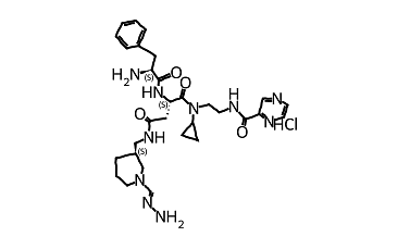 Cl.NN=CN1CCC[C@@H](CNC(=O)C[C@H](NC(=O)[C@@H](N)Cc2ccccc2)C(=O)N(CCNC(=O)c2cnccn2)C2CC2)C1